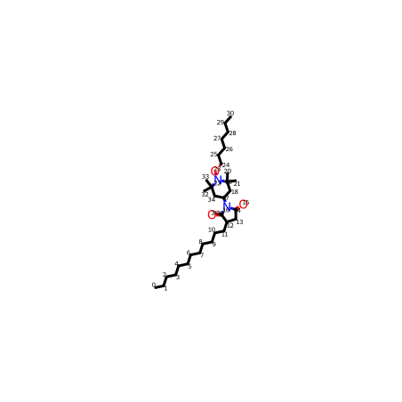 CCCCCCCCCCCCC1CC(=O)N(C2CC(C)(C)N(OCCCCCCC)C(C)(C)C2)C1=O